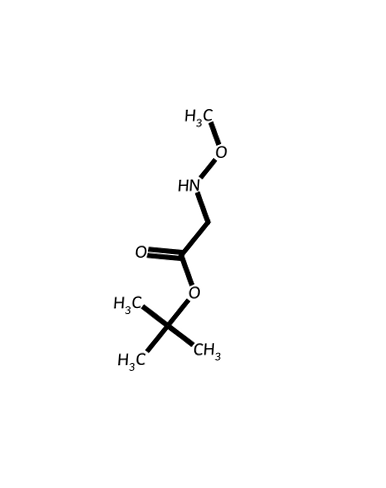 CONCC(=O)OC(C)(C)C